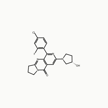 O=c1c2cc(N3CC[C@H](O)C3)nc(-c3ccc(Cl)cc3F)c2nc2n1CCC2